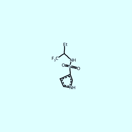 CCC(NS(=O)(=O)c1cc[nH]c1)C(F)(F)F